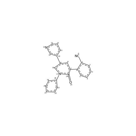 N#Cc1ccccc1-c1cc(-c2cccnc2)cn(-c2ccccc2)c1=O